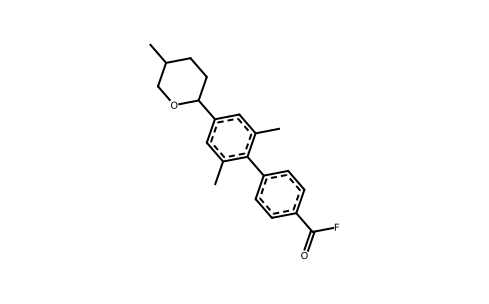 Cc1cc(C2CCC(C)CO2)cc(C)c1-c1ccc(C(=O)F)cc1